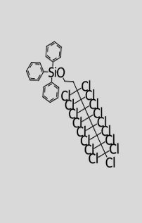 ClC(Cl)(Cl)C(Cl)(Cl)C(Cl)(Cl)C(Cl)(Cl)C(Cl)(Cl)C(Cl)(Cl)C(Cl)(Cl)C(Cl)(Cl)CCO[Si](c1ccccc1)(c1ccccc1)c1ccccc1